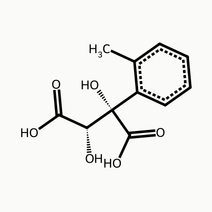 Cc1ccccc1[C@@](O)(C(=O)O)[C@H](O)C(=O)O